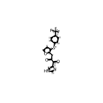 O=C(Cc1occc1Sc1ccc(C(F)(F)F)cc1)C(=O)c1nc[nH]n1